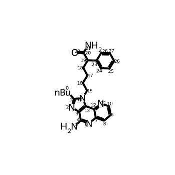 CCCCc1nc2c(N)nc3cccnc3c2n1CCCCC(C(N)=O)c1ccccc1